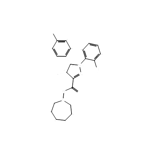 C[C@H]1C(C(=O)NN2CCCCCC2)=NN(c2ccccc2Cl)[C@H]1c1ccc(Cl)cc1